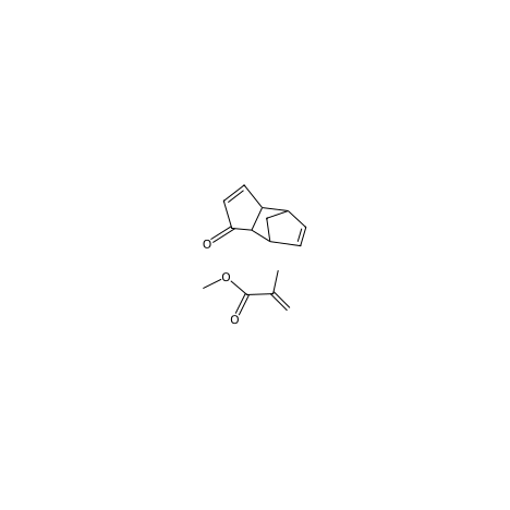 C=C(C)C(=O)OC.O=C1C=CC2C3C=CC(C3)C12